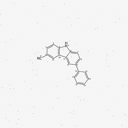 N#Cc1ccc2[nH]c3ccc(-c4ccccc4)cc3c2c1